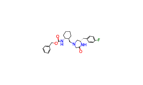 O=C1CN(C[C@@H]2CCCC[C@H]2NC(=O)OCc2ccccc2)C[C@H](Cc2ccc(F)cc2)N1